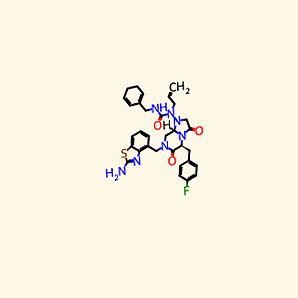 C=CCN(C(=O)NCC1=CCCC=C1)N1CC(=O)N2[C@@H](Cc3ccc(F)cc3)C(=O)N(Cc3cccc4sc(N)nc34)C[C@@H]21